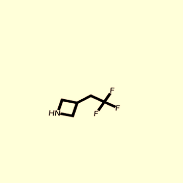 FC(F)(F)CC1CNC1